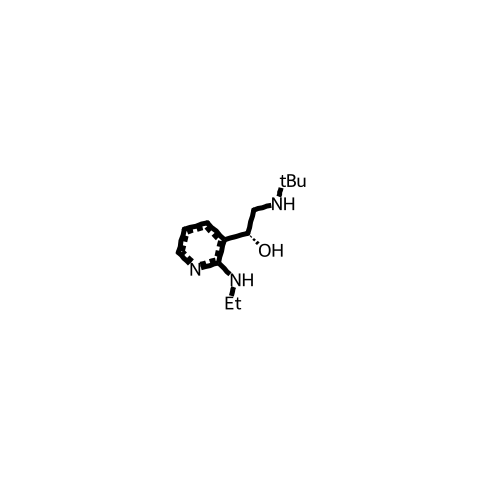 CCNc1ncccc1[C@@H](O)CNC(C)(C)C